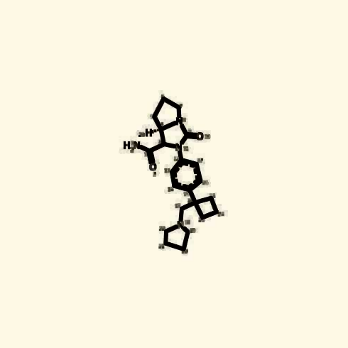 NC(=O)C1[C@H]2[CH]CCN2C(=O)N1c1ccc(C2(CN3CCCC3)CCC2)cc1